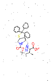 CC[C@H](C)[C@H](NC[C@H]1C[C@@H](SC(c2ccccc2)(c2ccccc2)c2ccccc2)CN1C(=O)OC(C)(C)C)C(=O)O